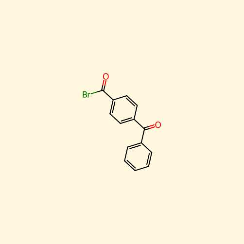 O=C(Br)c1ccc(C(=O)c2ccccc2)cc1